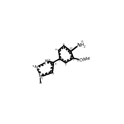 COc1cc(-c2cn(C)nn2)ccc1N